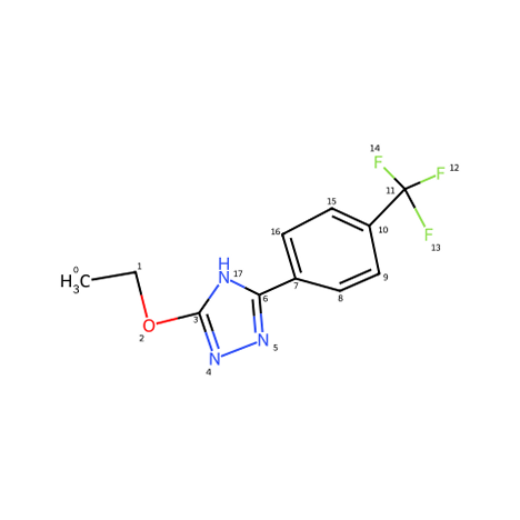 CCOc1nnc(-c2ccc(C(F)(F)F)cc2)[nH]1